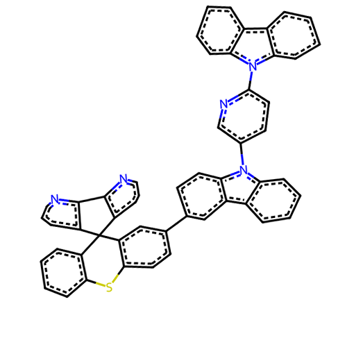 c1ccc2c(c1)Sc1ccc(-c3ccc4c(c3)c3ccccc3n4-c3ccc(-n4c5ccccc5c5ccccc54)nc3)cc1C21c2cccnc2-c2ncccc21